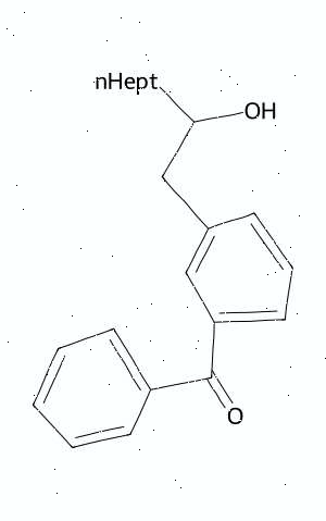 CCCCCCCC(O)Cc1cccc(C(=O)c2ccccc2)c1